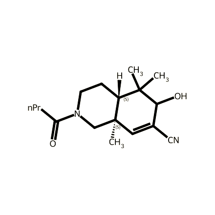 CCCC(=O)N1CC[C@@H]2C(C)(C)C(O)C(C#N)=C[C@@]2(C)C1